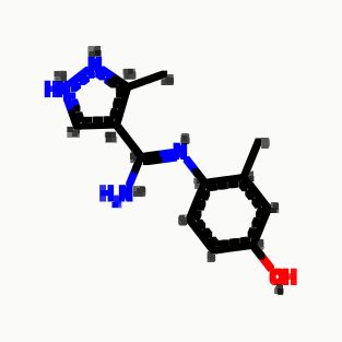 Cc1cc(O)ccc1N=C(N)c1c[nH]nc1C